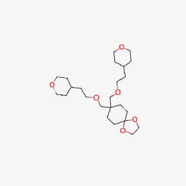 C1CC(CCOCC2(COCCC3CCOCC3)CCC3(CC2)OCCO3)CCO1